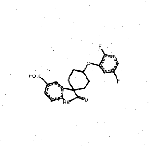 O=C(O)c1ccc2c(c1)C1(CCC(Oc3cc(F)cnc3F)CC1)C(=O)N2